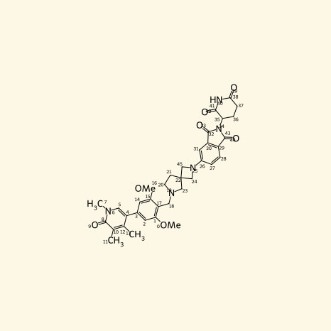 COc1cc(-c2cn(C)c(=O)c(C)c2C)cc(OC)c1CN1CCC2(C1)CN(c1ccc3c(c1)C(=O)N(C1CCC(=O)NC1=O)C3=O)C2